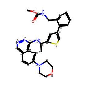 COC(=O)NCc1ccccc1-c1csc(C(C)Nc2nncc3ccc(N4CCOCC4)cc23)c1